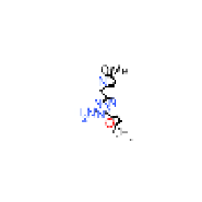 COc1cccc(Cc2cnn3c(-c4ccc(C)o4)nc(N)nc23)n1